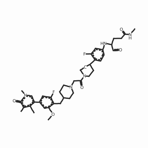 CNC(=O)CCC(C=O)Nc1ccc(C2CCN(C(=O)CN3CCC(Cc4c(F)cc(-c5cn(C)c(=O)c(C)c5C)cc4OC)CC3)CC2)c(F)c1